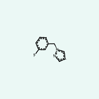 Fc1cccc(Cn2c[c]cn2)c1